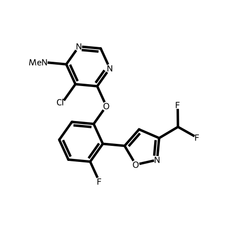 CNc1ncnc(Oc2cccc(F)c2-c2cc(C(F)F)no2)c1Cl